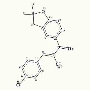 CC1(C)Cc2cc(C(=O)C(=Cc3ccc(Cl)cc3)C(F)(F)F)ccc2O1